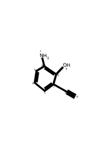 C#Cc1cccc(N)c1O